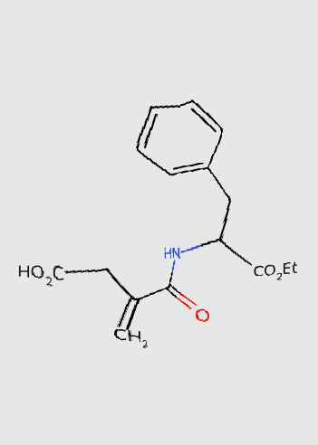 C=C(CC(=O)O)C(=O)NC(Cc1ccccc1)C(=O)OCC